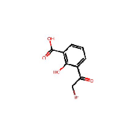 O=C(O)c1cccc(C(=O)CBr)c1O